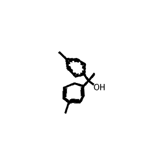 CC1=CC=C(C(C)(O)c2ccc(C)cc2)CC=C1